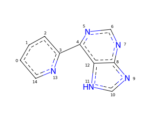 c1ccc(-c2ncnc3nc[nH]c23)nc1